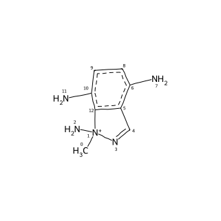 C[N+]1(N)N=Cc2c(N)ccc(N)c21